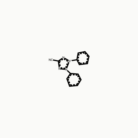 N#Cc1nn(-c2ccccc2)[n+](-c2ccccc2)n1